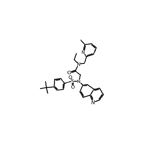 CCN(Cc1cccc(C)n1)C(=O)CN(c1ccc2ncccc2c1)S(=O)(=O)c1ccc(C(C)(C)C)cc1